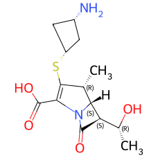 C[C@@H](O)[C@H]1C(=O)N2C(C(=O)O)=C(S[C@H]3C[C@@H](N)C3)[C@H](C)[C@H]12